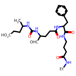 CCNC(=O)CCCNC(=O)C(Cc1ccccc1)NC(=O)CCC(C=O)NC(=O)NC(C)CCC(=O)O